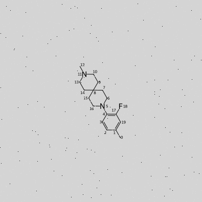 Cc1ccc(N2CCC3(CCN(C)CC3)CC2)c(F)c1